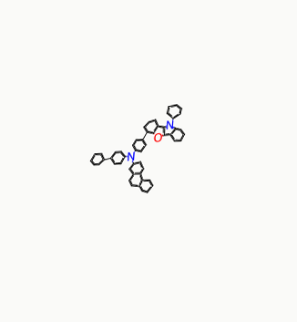 c1ccc(-c2ccc(N(c3ccc(-c4cccc5c4oc4c6ccccc6n(-c6ccccc6)c54)cc3)c3ccc4c(ccc5ccccc54)c3)cc2)cc1